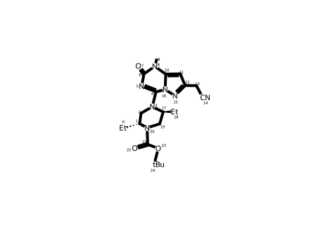 CC[C@@H]1CN(c2nc(=O)n(C)c3cc(CC#N)nn23)[C@@H](CC)CN1C(=O)OC(C)(C)C